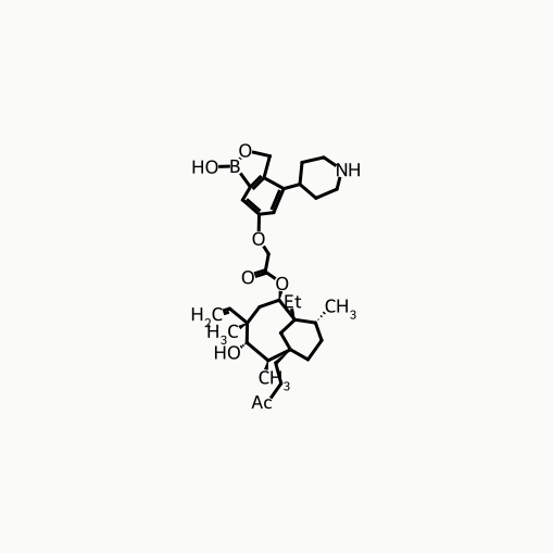 C=C[C@]1(C)C[C@@H](OC(=O)COc2cc3c(c(C4CCNCC4)c2)COB3O)[C@@]2(CC)C[C@](CCC(C)=O)(CC[C@H]2C)[C@@H](C)[C@@H]1O